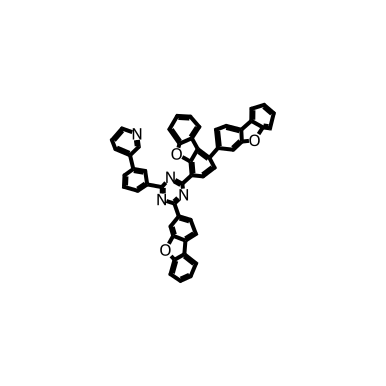 c1cncc(-c2cccc(-c3nc(-c4ccc5c(c4)oc4ccccc45)nc(-c4ccc(-c5ccc6c(c5)oc5ccccc56)c5c4oc4ccccc45)n3)c2)c1